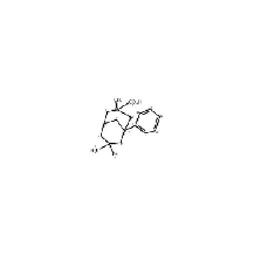 CCC1(C)CC2CC(C)(C(=O)O)CC(c3ccccc3)(C2)C1